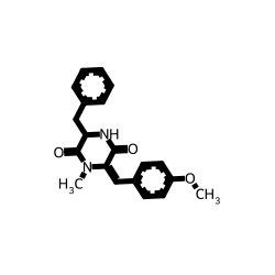 COc1ccc(C=C2C(=O)NC(Cc3ccccc3)C(=O)N2C)cc1